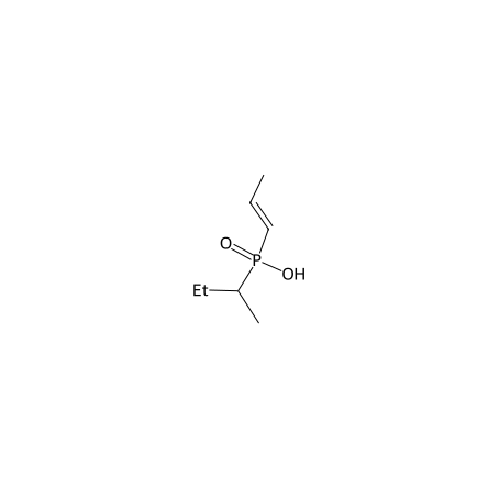 CC=CP(=O)(O)C(C)CC